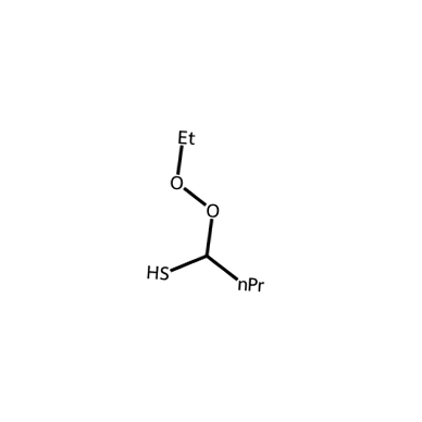 CCCC(S)OOCC